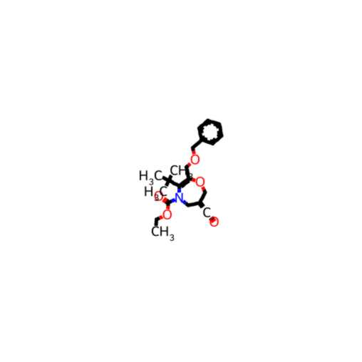 CCOC(=O)N1CC(=C=O)COC(COCc2ccccc2)=C1C(C)(C)C